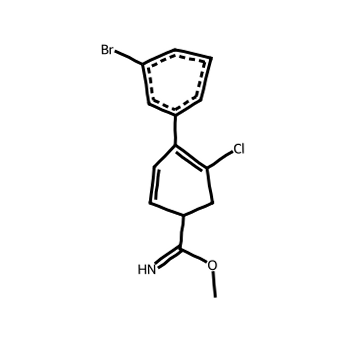 COC(=N)C1C=CC(c2cccc(Br)c2)=C(Cl)C1